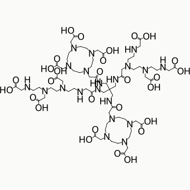 O=C(O)CNCCN(CCN(CCNCC(=O)NCC(CNC(=O)CN(CCNCC(=O)O)CCN(CCNCC(=O)O)CC(=O)O)(CNC(=O)CN1CCN(CC(=O)O)CCN(CC(=O)O)CCN(CC(=O)O)CC1)CNC(=O)CN1CCN(CC(=O)O)CCN(CC(=O)O)CCN(CC(=O)O)CC1)CC(=O)O)CC(=O)O